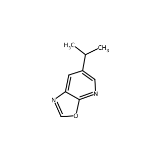 CC(C)c1cnc2ocnc2c1